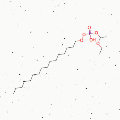 CCCCCCCCCCCCCCCCOOP(=O)(O)OC(C)OCC